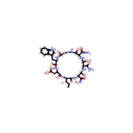 CC[C@H](C)C1NC(=O)C(CC(=O)O)NC(=O)C(Cc2c[nH]c3ccccc23)NC(=O)CCNC(=O)C(C(N)=O)NC(=O)C(C(N)=O)NC(=O)C(C(N)=O)NC1=O